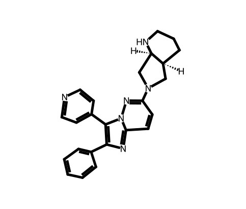 c1ccc(-c2nc3ccc(N4C[C@@H]5CCCN[C@@H]5C4)nn3c2-c2ccncc2)cc1